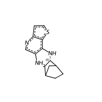 Nc1cnc2ccsc2c1N[C@H]1CC2CCC1C2